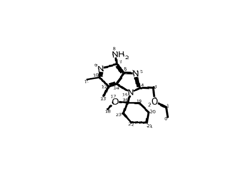 CCOCc1nc2c(N)nc(C)c(C)c2n1C1(OC)CCCCC1